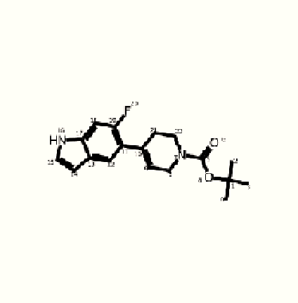 CC(C)(C)OC(=O)N1CC=C(c2cc3cc[nH]c3cc2F)CC1